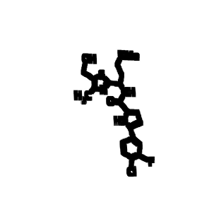 CNCCC(NC(=O)c1ccc(-c2ccc(Cl)c(F)c2)[nH]1)c1nc(C)c(CO)s1